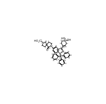 O=C(O)N1CCC2(CCN(c3ccc4c(c3)c(C3=CCS(O)(O)CC3)nn4C(c3ccccc3)(c3ccccc3)c3ccccc3)C2=O)C1